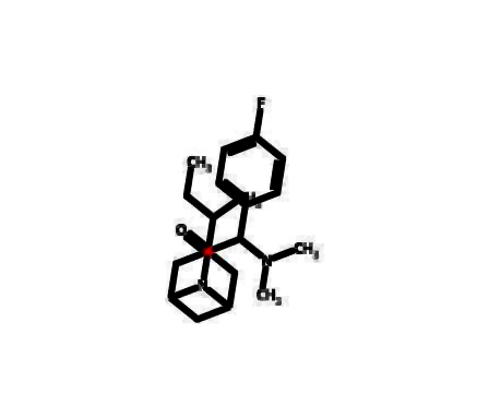 CCC(C)N1CC2CC(C1)N2C(=O)C(c1ccc(F)cc1)N(C)C